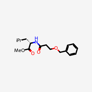 COC(=O)[C@H](CC(C)C)NC(=O)CCOCc1ccccc1